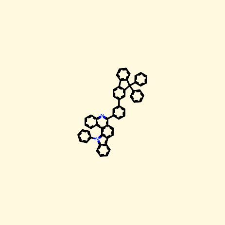 c1ccc(-n2c3ccccc3c3ccc4c(-c5cccc(-c6ccc7c(c6)C(c6ccccc6)(c6ccccc6)c6ccccc6-7)c5)nc5ccccc5c4c32)cc1